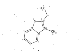 CC[n+]1sc2ccccc2c1C